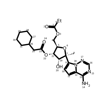 CCC(=O)OC[C@H]1O[C@@](C)(c2ccc3c(N)ncnn23)[C@H](O)[C@@H]1OC(=O)CC1CCCCC1